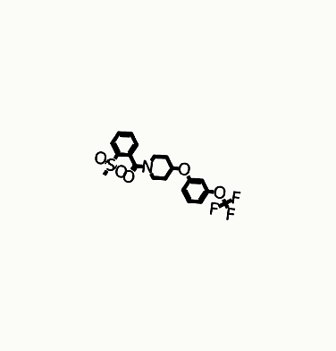 CS(=O)(=O)c1ccccc1C(=O)N1CCC(Oc2cccc(OC(F)(F)F)c2)CC1